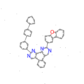 c1ccc(-c2ccc(-c3cccc(-c4ncc5c6ccccc6c6cnc(-c7ccc8oc9ccccc9c8c7)nc6c5n4)c3)cc2)cc1